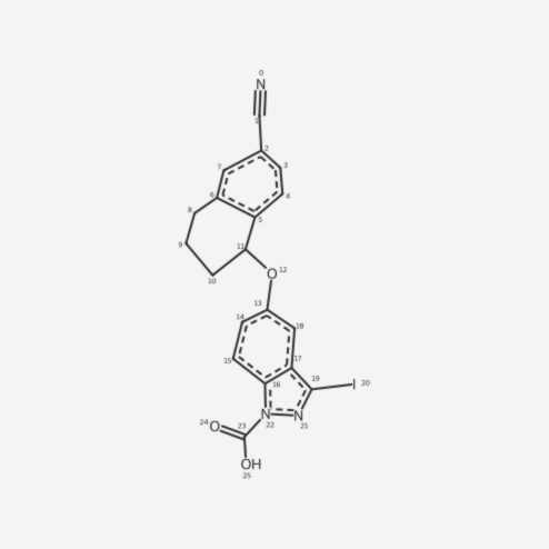 N#Cc1ccc2c(c1)CCCC2Oc1ccc2c(c1)c(I)nn2C(=O)O